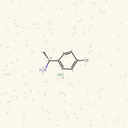 C[C@H](N)c1ccc(C#N)cc1.Cl